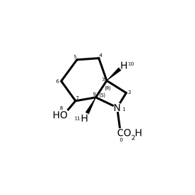 O=C(O)N1C[C@H]2CCCC(O)[C@H]21